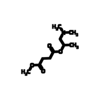 COC(=O)CCC(=O)OC(C)CN(C)C